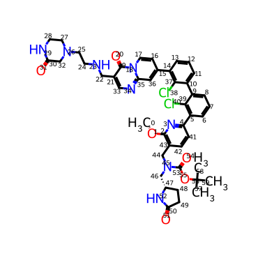 COc1nc(-c2cccc(-c3cccc(-c4ccn5c(=O)c(CNCCN6CCNC(=O)C6)cnc5c4)c3Cl)c2Cl)ccc1CN(C[C@@H]1CCC(=O)N1)C(=O)OC(C)(C)C